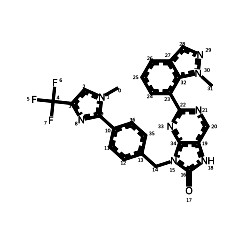 Cn1cc(C(F)(F)F)nc1-c1ccc(Cn2c(=O)[nH]c3cnc(-c4cccc5cnn(C)c45)nc32)cc1